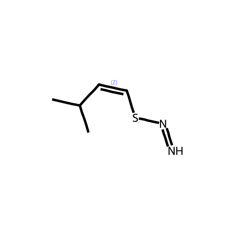 CC(C)/C=C\SN=N